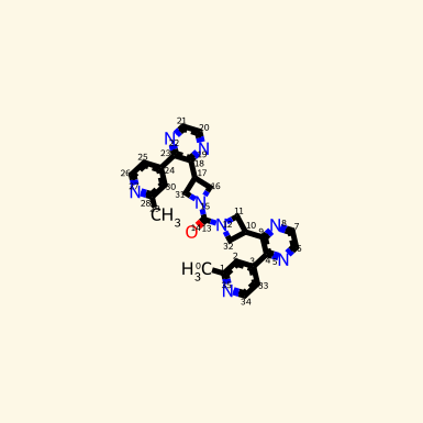 Cc1cc(-c2nccnc2C2CN(C(=O)N3CC(c4nccnc4-c4ccnc(C)c4)C3)C2)ccn1